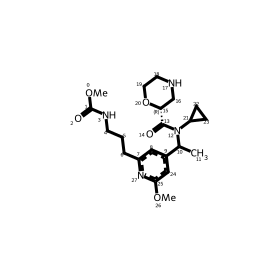 COC(=O)NCCCc1cc(C(C)N(C(=O)[C@H]2CNCCO2)C2CC2)cc(OC)n1